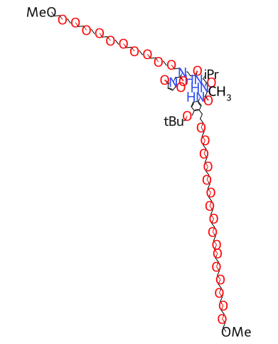 COCCOCCOCCOCCOCCOCCOCCOCCOCCOCCOCCN(CCC(=O)N[C@H](C(=O)N[C@@H](C)C(=O)Nc1ccc(COCC(C)(C)C)c(CCCOCCOCCOCCOCCOCCOCCOCCOCCOCCOCOCCOCCOCCOCCOCCOCCOC)c1)C(C)C)C(=O)CN1C(=O)C=CC1=O